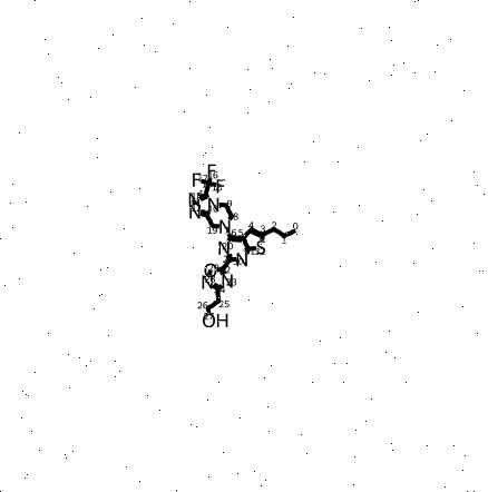 CCCc1cc2c(N3CCn4c(nnc4C(F)(F)F)C3)nc(-c3nc(CCO)no3)nc2s1